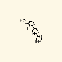 OCc1ccnc(-c2cnc(C3CNCCO3)nc2)c1F